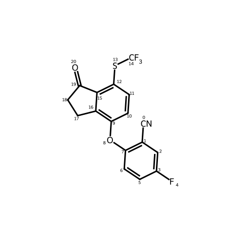 N#Cc1cc(F)ccc1Oc1ccc(SC(F)(F)F)c2c1CCC2=O